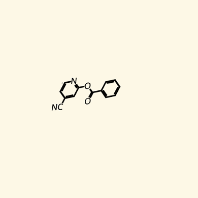 N#Cc1c[c]nc(OC(=O)c2ccccc2)c1